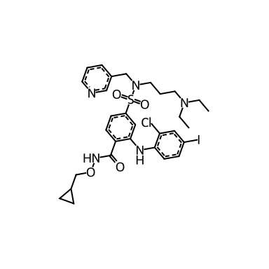 CCN(CC)CCCN(Cc1cccnc1)S(=O)(=O)c1ccc(C(=O)NOCC2CC2)c(Nc2ccc(I)cc2Cl)c1